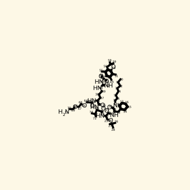 CCCCCCCCNC(=O)C(Cc1ccccc1)NC(=O)C(COC(C)(C)C)NC(=O)C(NC(=O)C(CCCNC(=N)NS(=O)(=O)c1c(C)c(C)c2c(c1C)CC(C)(C)O2)NC(=O)COCCOCCN)C(C)C